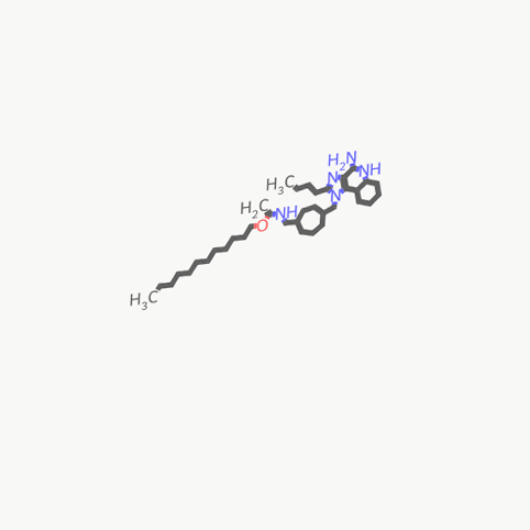 C=C(NCC1CCCC(Cn2c(CCCC)nc3c2C2CCCCC2NC3N)CC1)OCCCCCCCCCCCC